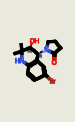 CC1(C)Nc2ccc(Br)cc2[C@@H](N2CCCC2=O)[C@H]1O